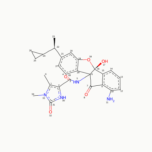 Cc1c(C(=O)NC23C(=O)c4c(N)cccc4[C@@]2(O)Oc2cc([C@H](C)C4CC4)ccc23)[nH]c(=O)n1C